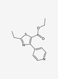 CCOC(=O)c1sc(CC)nc1-c1ccncc1